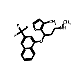 CNCCC(Oc1cc(C(F)(F)F)cc2ccccc12)c1sccc1C